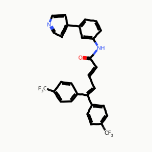 O=C(C=CC=C(c1ccc(C(F)(F)F)cc1)c1ccc(C(F)(F)F)cc1)Nc1cccc(-c2ccncc2)c1